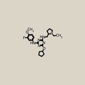 CCN1CCCC1CNc1nc(Nc2ccc(OC)c(F)c2)nc(OC2CCCC2)n1